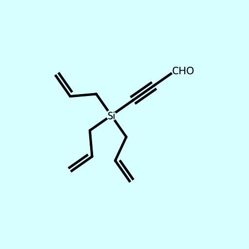 C=CC[Si](C#CC=O)(CC=C)CC=C